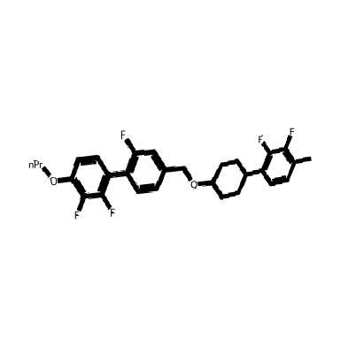 CCCOc1ccc(-c2ccc(COC3CCC(c4ccc(C)c(F)c4F)CC3)cc2F)c(F)c1F